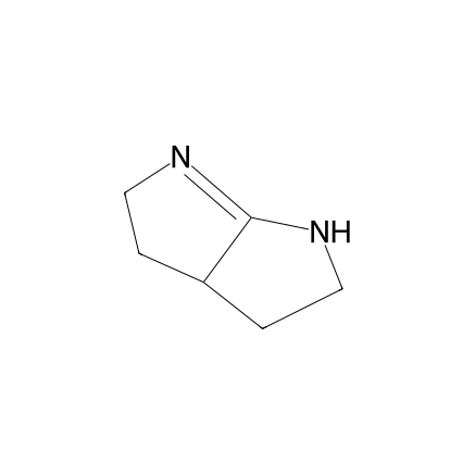 C1CC2CCNC2=N1